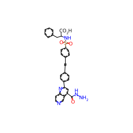 NNC(=O)c1cc(-c2ccc(C#Cc3ccc(S(=O)(=O)NC(Cc4ccccc4)C(=O)O)cc3)cc2)nc2ccncc12